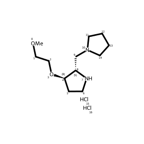 COCCO[C@@H]1CCN[C@H]1CN1CCCC1.Cl.Cl